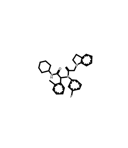 C=C(CN1CCc2ccccc21)N(c1cccc(F)c1)C(C(=O)NC1CCCCC1)c1ccccc1C